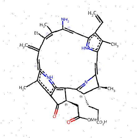 C=Cc1c2[nH]c(c1C)/C=C1\N=C(C3=c4[nH]/c(c(C)c4C(=O)[C@@H]3CC(=O)OC)=C\C(=C)/C(CC)=C(C)\C(N)=C\2)[C@@H](CCC(=O)O)[C@@H]1C